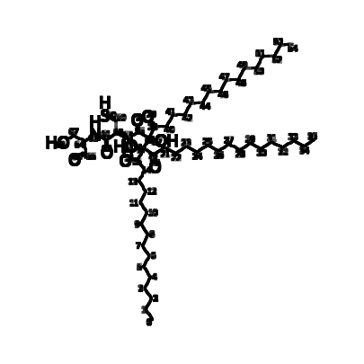 CCCCCCCCCCCCCCCC(=O)C(O)(C(=O)CCCCCCCCCCCCCCC)[C@](O)(C(=O)CCCCCCCCCCCCCCC)C(=O)NC(CS)C(=O)NC([C]=O)CO